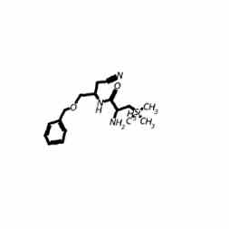 C[Si](C)(C)CC(N)C(=O)NC(CC#N)COCc1ccccc1